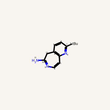 CC(C)(C)c1ccc2c(n1)C=CN=C(N)C2